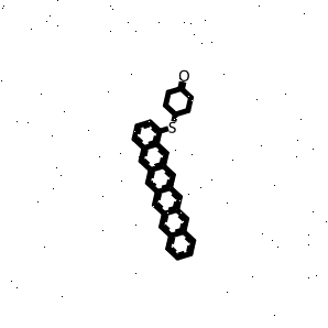 O=C1CCC(Sc2cccc3cc4cc5cc6cc7ccccc7cc6cc5cc4cc23)CC1